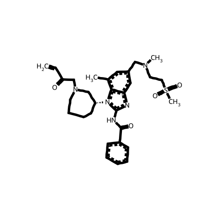 C=CC(=O)CN1CCCC[C@@H](n2c(NC(=O)c3ccccc3)nc3cc(CN(C)CCS(C)(=O)=O)cc(C)c32)C1